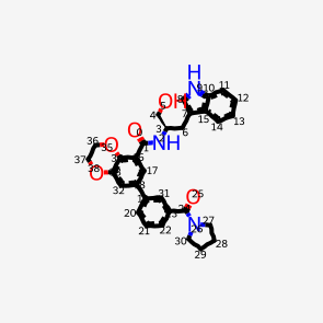 O=C(N[C@@H](CO)Cc1c[nH]c2ccccc12)c1cc(-c2cccc(C(=O)N3CCCC3)c2)cc2c1OCCO2